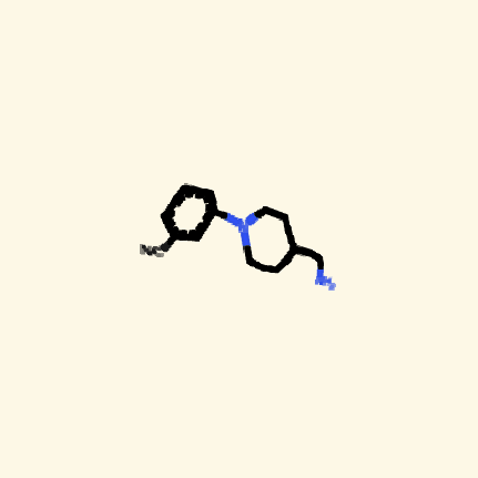 N#Cc1cccc(N2CCC(CN)CC2)c1